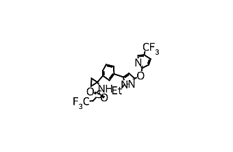 CCn1nc(Oc2ccc(C(F)(F)F)cn2)cc1-c1cccc(C2(NS(=O)(=O)CC(F)(F)F)CC2)c1